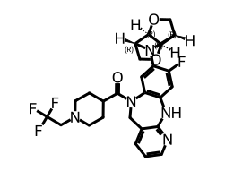 O=C(C1CCN(CC(F)(F)F)CC1)N1Cc2cccnc2Nc2cc(F)c(N3[C@@H]4CO[C@H]5[C@@H]4OC[C@H]53)cc21